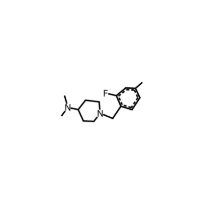 Cc1ccc(CN2CCC(N(C)C)CC2)c(F)c1